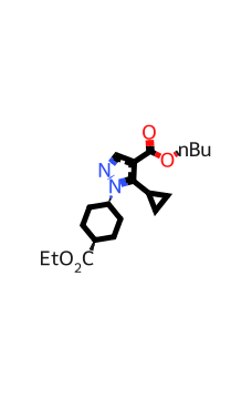 CCCCOC(=O)c1cnn([C@H]2CC[C@H](C(=O)OCC)CC2)c1C1CC1